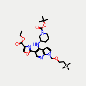 CCOC(=O)c1coc(-c2cnc3c(ccn3COCC[Si](C)(C)C)c2N[C@@H]2CCCN(C(=O)OC(C)(C)C)C2)n1